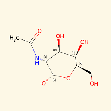 CC(=O)N[C@@H]1[C@@H](O)[C@@H](O)[C@@H](CO)O[C@@H]1[O]